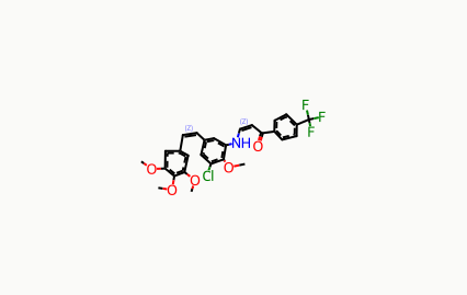 COc1cc(/C=C\c2cc(Cl)c(OC)c(N/C=C\C(=O)c3ccc(C(F)(F)F)cc3)c2)cc(OC)c1OC